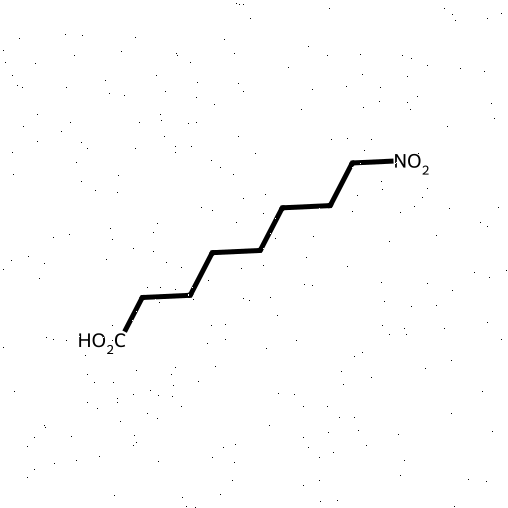 O=C(O)CCCCCCC[N+](=O)[O-]